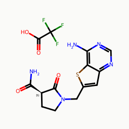 NC(=O)[C@@H]1CCN(Cc2cc3ncnc(N)c3s2)C1=O.O=C(O)C(F)(F)F